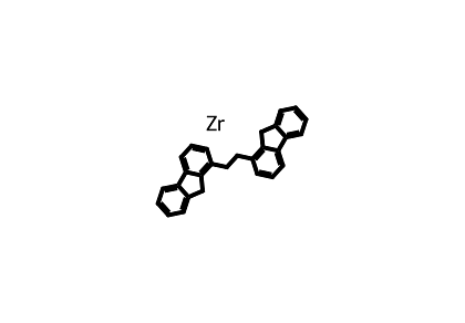 [Zr].c1ccc2c(c1)Cc1c(CCc3cccc4c3Cc3ccccc3-4)cccc1-2